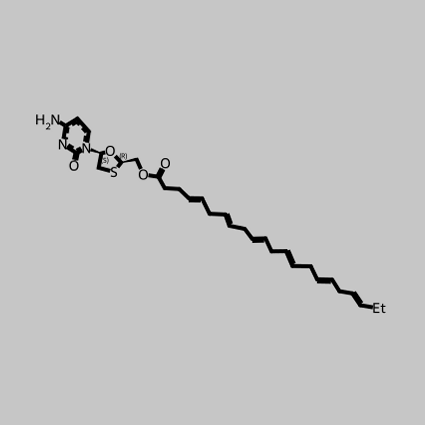 CCC=CCC=CCC=CCC=CCC=CCC=CCCC(=O)OC[C@@H]1O[C@H](n2ccc(N)nc2=O)CS1